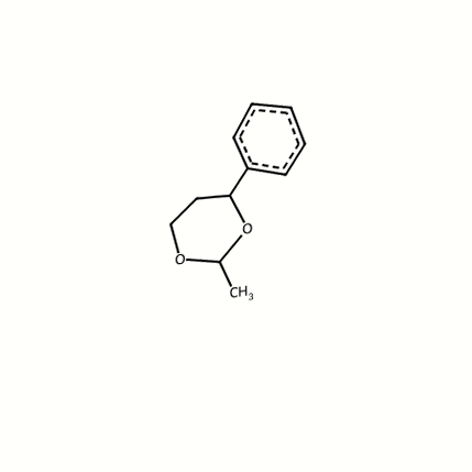 CC1OCCC(c2ccccc2)O1